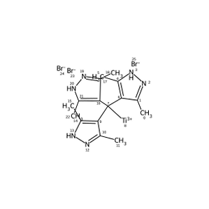 Cc1n[nH]c(C)c1[C]([Ti+3])(c1c(C)n[nH]c1C)c1c(C)n[nH]c1C.[Br-].[Br-].[Br-]